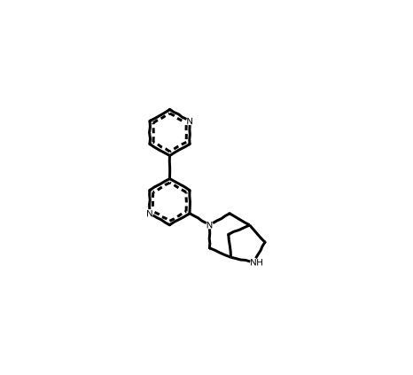 c1cncc(-c2cncc(N3CC4CNC(C4)C3)c2)c1